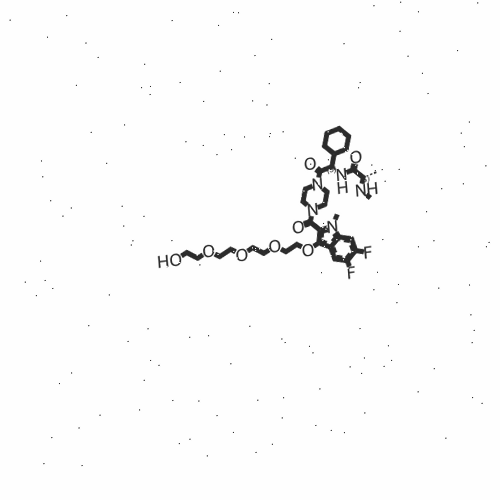 CN[C@@H](C)C(=O)N[C@H](C(=O)N1CCN(C(=O)c2c(OCCOCCOCCOCCO)c3cc(F)c(F)cc3n2C)CC1)C1CCCCC1